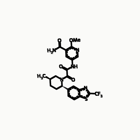 COc1ncc(NC(=O)C(=O)N2C[C@H](C)CC[C@H]2c2ccc3sc(C(F)(F)F)nc3c2)cc1C(N)=O